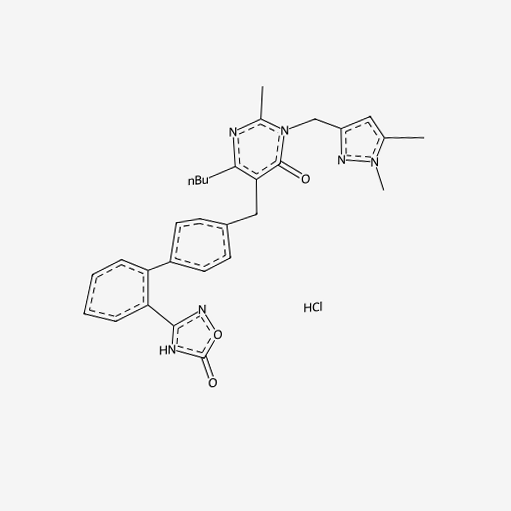 CCCCc1nc(C)n(Cc2cc(C)n(C)n2)c(=O)c1Cc1ccc(-c2ccccc2-c2noc(=O)[nH]2)cc1.Cl